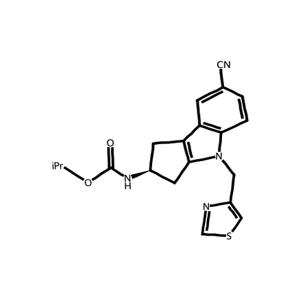 CC(C)OC(=O)N[C@H]1Cc2c(n(Cc3cscn3)c3ccc(C#N)cc23)C1